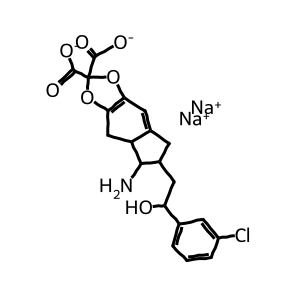 NC1C(CC(O)c2cccc(Cl)c2)CC2=CC3=C(CC21)OC(C(=O)[O-])(C(=O)[O-])O3.[Na+].[Na+]